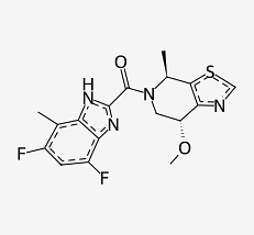 CO[C@@H]1CN(C(=O)c2nc3c(F)cc(F)c(C)c3[nH]2)[C@@H](C)c2scnc21